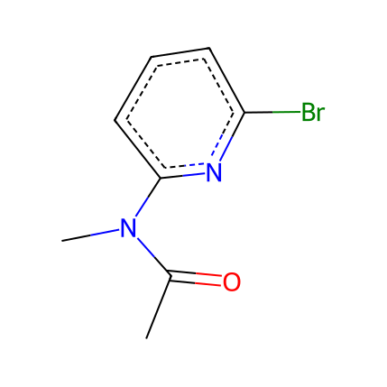 CC(=O)N(C)c1cccc(Br)n1